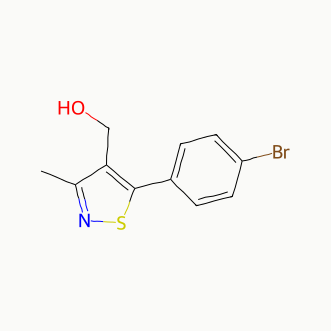 Cc1nsc(-c2ccc(Br)cc2)c1CO